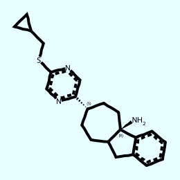 N[C@]12CC[C@@H](c3cnc(SCC4CC4)cn3)CCC1Cc1ccccc12